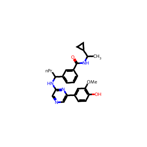 CCCC(Nc1cncc(-c2ccc(O)c(OC)c2)n1)c1cccc(C(=O)NC(C)C2CC2)c1